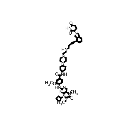 CC[C@@H]1C(=O)N(C)c2cnc(Nc3ccc(C(=O)NC4CCC(N5CCN(CCNCCC#Cc6cccc7c6CN(C6CCC(=O)NC6=O)C7)CC5)CC4)cc3OC)nc2N1C1CCCC1